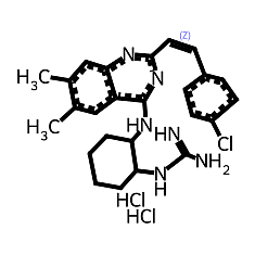 Cc1cc2nc(/C=C\c3ccc(Cl)cc3)nc(NC3CCCCC3NC(=N)N)c2cc1C.Cl.Cl